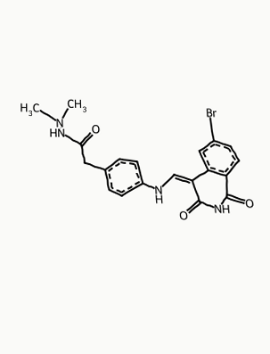 CN(C)NC(=O)Cc1ccc(N/C=C2\C(=O)NC(=O)c3ccc(Br)cc32)cc1